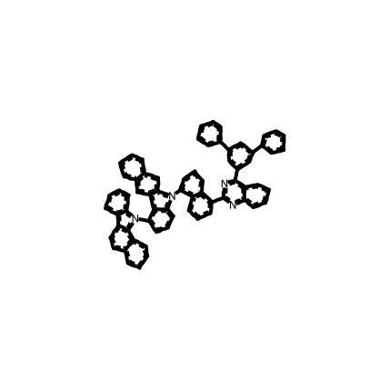 c1ccc(-c2cc(-c3ccccc3)cc(-c3nc(-c4cccc5c(-n6c7cc8ccccc8cc7c7c(-n8c9ccccc9c9ccc%10ccccc%10c98)cccc76)cccc45)nc4ccccc34)c2)cc1